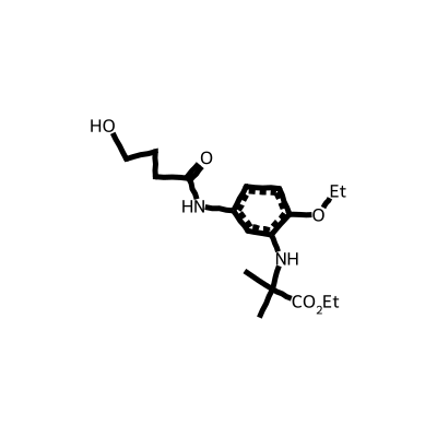 CCOC(=O)C(C)(C)Nc1cc(NC(=O)CCCO)ccc1OCC